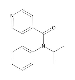 CC(C)N(C(=O)c1ccncc1)c1ccccc1